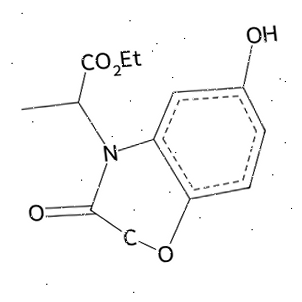 CCOC(=O)C(C)N1C(=O)COc2ccc(O)cc21